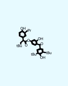 CC(C)c1cc(C(CC(C)(C)C)C(=O)Oc2ccc(C(=O)c3cc(C(C)(C)C)c(O)c(C(C)(C)C)c3)c(O)c2)ccc1O